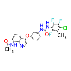 CC(=O)Nc1cccc2c(Oc3cccc(NC(=O)Nc4c(F)c(C)c(Cl)c(F)c4F)c3)ccnc12